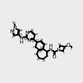 COC1CN(C(=O)NC2CCCCC3=C2C=CC(c2ccnc(Nc4cnn(C)c4)n2)C3)C1